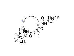 CC1(S(=O)(=O)NC(=O)[C@@]23CC2/C=C\CCCCC[C@H](NC(=O)c2ccn(C(F)F)n2)C(=O)N2CCCC2C(=O)N3)CC1